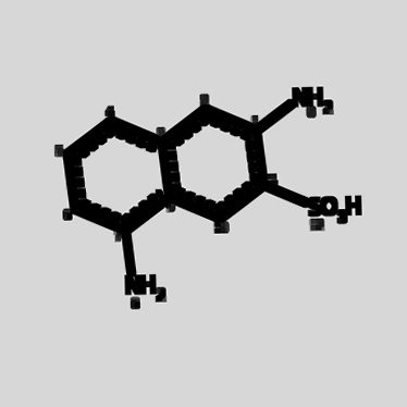 Nc1cc2cccc(N)c2cc1S(=O)(=O)O